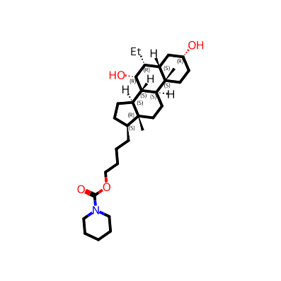 CC[C@H]1[C@@H](O)[C@@H]2[C@H](CC[C@]3(C)[C@@H](CCCCOC(=O)N4CCCCC4)CC[C@@H]23)[C@@]2(C)CC[C@@H](O)C[C@@H]12